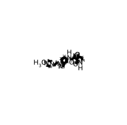 CN1CCN(CCn2ncc3cc(NC(=O)c4coc5c4C(=O)NCC5)ccc32)CC1